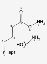 CCCCCCCCCCC(=O)ON.NC(=O)O